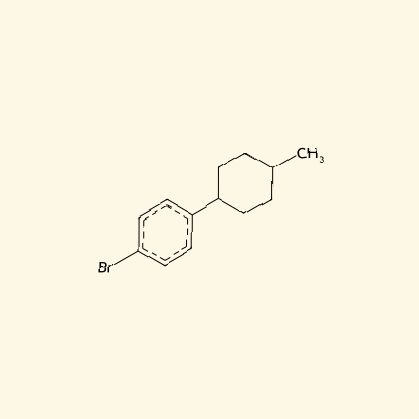 CC1CCC(c2ccc(Br)cc2)CC1